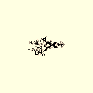 CC1CCC(C(=O)NCc2cc(-c3cnc(C(F)(F)F)nc3)c(Br)c(C3CC3)n2)N1C(=O)OC(C)(C)C